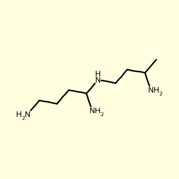 CC(N)CCNC(N)CCCN